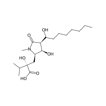 CCCCCCCC(O)[C@@H]1C(=O)N(C)[C@H](C[C@@](O)(C(=O)O)C(C)C)[C@@H]1O